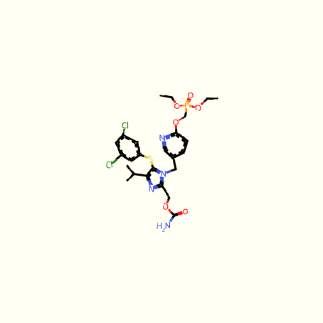 CCOP(=O)(COc1ccc(Cn2c(COC(N)=O)nc(C(C)C)c2Sc2cc(Cl)cc(Cl)c2)cn1)OCC